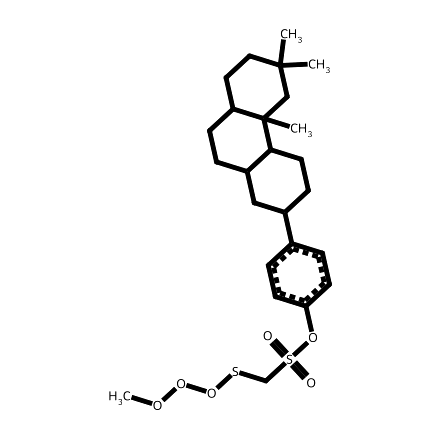 COOOSCS(=O)(=O)Oc1ccc(C2CCC3C(CCC4CCC(C)(C)CC43C)C2)cc1